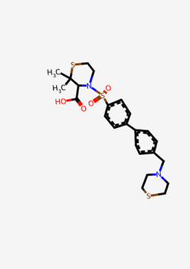 CC1(C)SCCN(S(=O)(=O)c2ccc(-c3ccc(CN4CCSCC4)cc3)cc2)C1C(=O)O